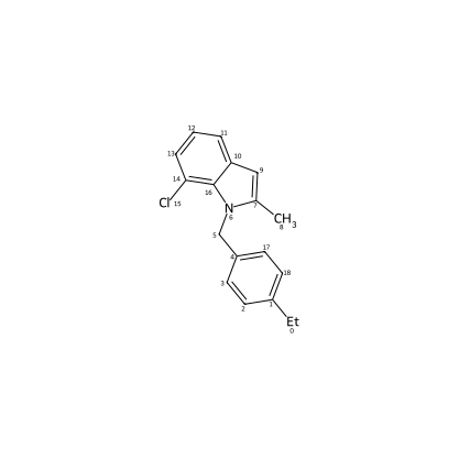 CCc1ccc(Cn2c(C)cc3cccc(Cl)c32)cc1